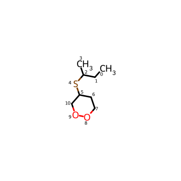 CCC(C)SC1CCOOC1